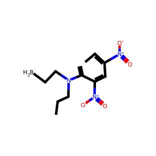 BCCN(CCC)C(=C)/C(=C\C(=C/C)[N+](=O)[O-])[N+](=O)[O-]